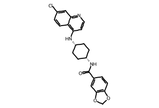 O=C(N[C@H]1CC[C@@H](Nc2ccnc3cc(Cl)ccc23)CC1)c1ccc2c(c1)OCO2